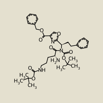 CC(C)(C)OC(=O)NCCC[C@@H](N)C(=O)N(C(=O)OC(C)(C)C)[C@H](CCc1ccccc1)c1nc(C(=O)OCc2ccccc2)co1